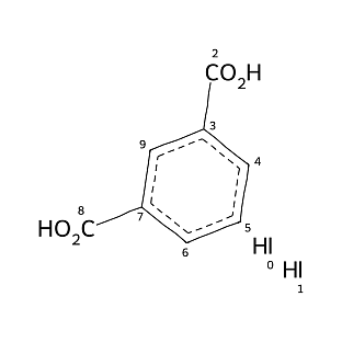 I.I.O=C(O)c1cccc(C(=O)O)c1